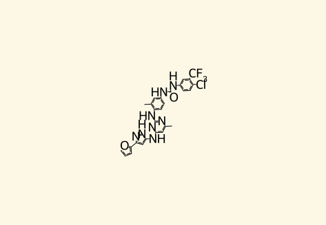 Cc1cc(Nc2cc(-c3ccco3)n[nH]2)nc(Nc2ccc(NC(=O)Nc3ccc(Cl)c(C(F)(F)F)c3)cc2C)n1